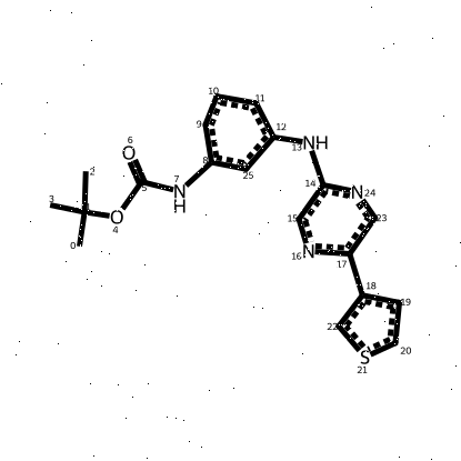 CC(C)(C)OC(=O)Nc1cccc(Nc2cnc(-c3ccsc3)cn2)c1